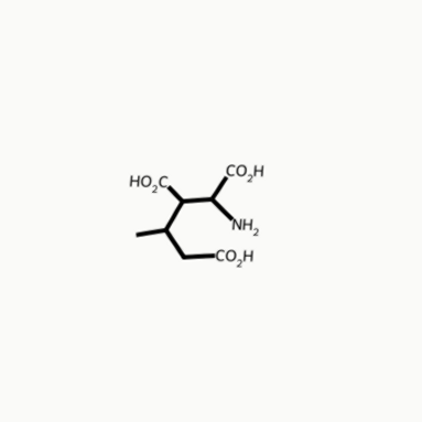 CC(CC(=O)O)C(C(=O)O)C(N)C(=O)O